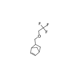 FC(F)(F)COCC1CC2C=CC1C2